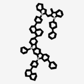 C=c1/c(=C\c2cc3ccccc3n2-c2ccc(-c3cccc4c(-c5ccc6c(c5)c5cc7c8ccc(-c9ccccc9)cc8n(-c8ccc(-c9cccc%10ccccc9%10)cc8)c7cc5n6-c5ccccc5)cccc34)cc2)n(-c2ccc(-c3ccccc3)cc2)c2ccccc12